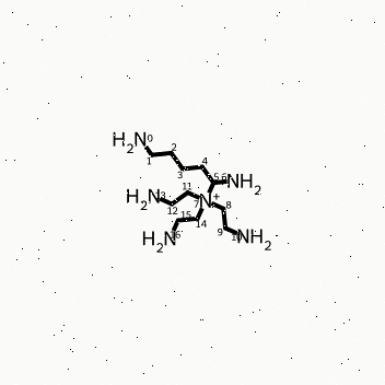 NCCCCC(N)[N+](CCN)(CCN)CCN